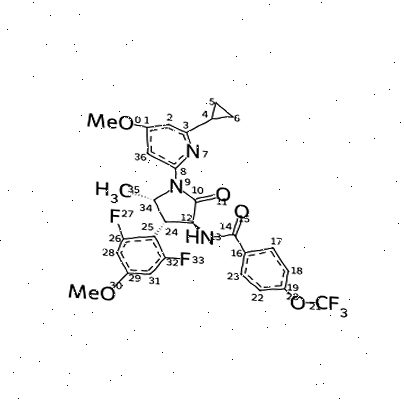 COc1cc(C2CC2)nc(N2C(=O)[C@@H](NC(=O)c3ccc(OC(F)(F)F)cc3)[C@H](c3c(F)cc(OC)cc3F)[C@@H]2C)c1